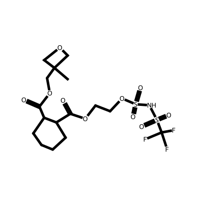 CC1(COC(=O)C2CCCCC2C(=O)OCCOS(=O)(=O)NS(=O)(=O)C(F)(F)F)COC1